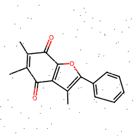 CC1=C(C)C(=O)c2c(oc(-c3ccccc3)c2C)C1=O